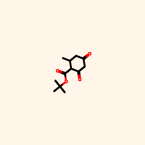 CC1CC(=O)CC(=O)C1C(=O)OC(C)(C)C